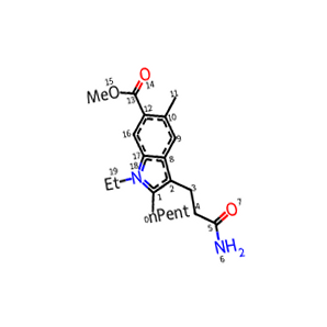 CCCCCc1c(CCC(N)=O)c2cc(C)c(C(=O)OC)cc2n1CC